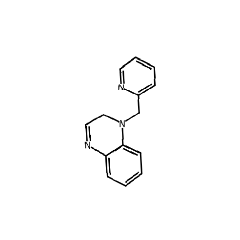 C1=Nc2ccccc2N(Cc2ccccn2)C1